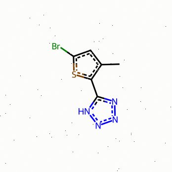 Cc1cc(Br)sc1-c1nnn[nH]1